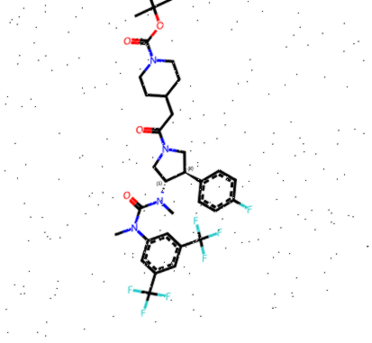 CN(C(=O)N(C)[C@@H]1CN(C(=O)CC2CCN(C(=O)OC(C)(C)C)CC2)C[C@H]1c1ccc(F)cc1)c1cc(C(F)(F)F)cc(C(F)(F)F)c1